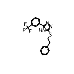 FC(F)(F)c1cccc(-c2nnc(SCCc3ccccc3)[nH]2)c1